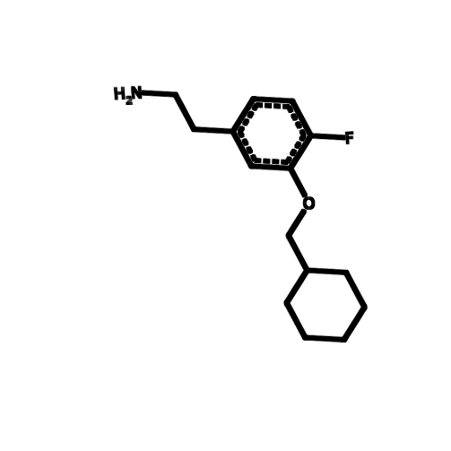 NCCc1ccc(F)c(OCC2CCCCC2)c1